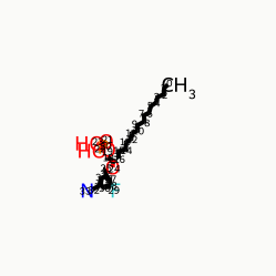 CCCCCCCCCCCCCCCCC[C@@H](COP(=O)(O)O)OCc1cc(F)cc(C#N)c1